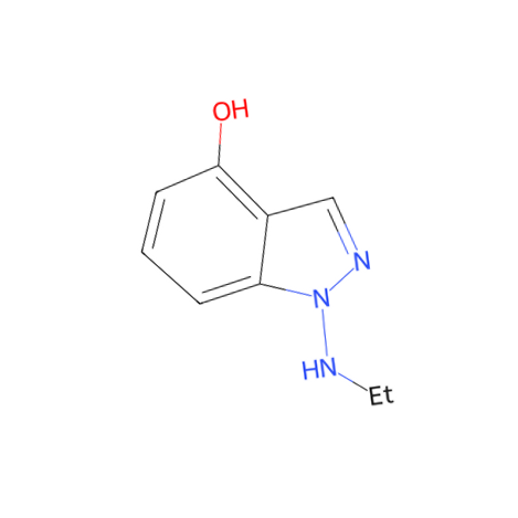 CCNn1ncc2c(O)cccc21